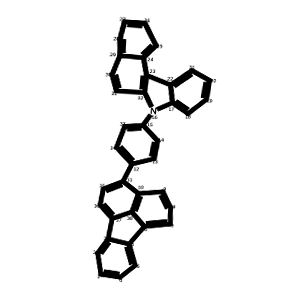 c1ccc2c(c1)-c1cccc3c(-c4ccc(-n5c6ccccc6c6c7ccccc7ccc65)cc4)ccc-2c13